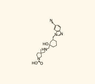 CC1(CNC[C@]2(O)CCC[C@H](Cn3cnc4ccc(C#N)cc43)C2)CCN(C(=O)O)C1